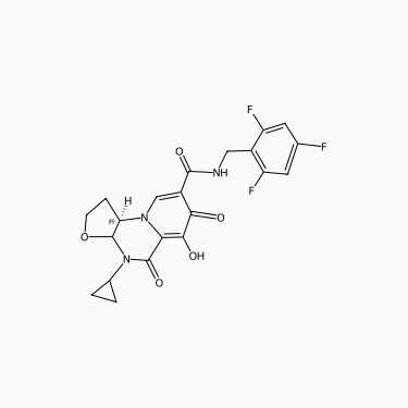 O=C(NCc1c(F)cc(F)cc1F)c1cn2c(c(O)c1=O)C(=O)N(C1CC1)C1OCC[C@H]12